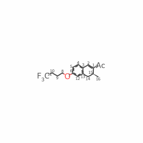 CC(=O)C1=Cc2ccc(OCCCC(F)(F)F)cc2C[C@@H]1C